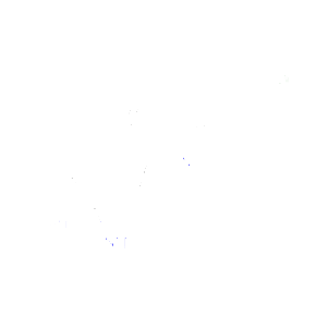 CNC1=CC(NC)(NC)C(C)=CC1=Cc1ccc(Br)cc1